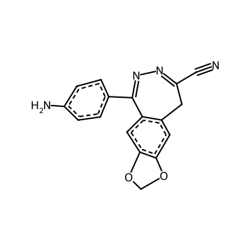 N#CC1=NN=C(c2ccc(N)cc2)c2cc3c(cc2C1)OCO3